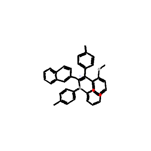 COc1ccccc1/C(=C(\B(c1ccccc1)c1ccc(C)cc1)c1ccc2ccccc2c1)c1ccc(C)cc1